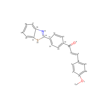 COc1ccc(C=CC(=O)c2ccc(-c3nc4ccccc4s3)cc2)cc1